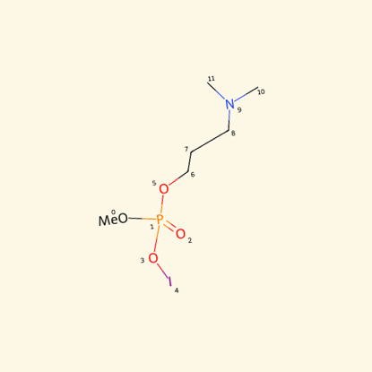 COP(=O)(OI)OCCCN(C)C